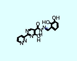 O=C(N/N=C/c1cccc(O)c1O)c1cnc(-c2cccnn2)nc1O